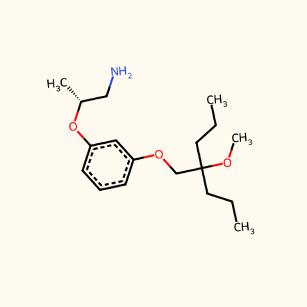 CCCC(CCC)(COc1cccc(O[C@H](C)CN)c1)OC